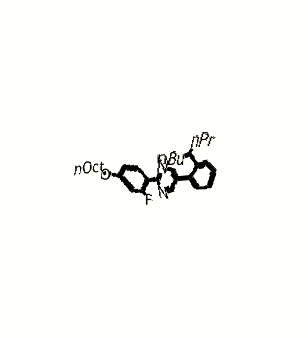 CCCCCCCCOc1ccc(-c2ncc(-c3ccccc3C(CCC)CCCC)cn2)c(F)c1